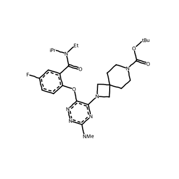 CCN(C(=O)c1cc(F)ccc1Oc1nnc(NC)nc1N1CC2(CCN(C(=O)OC(C)(C)C)CC2)C1)C(C)C